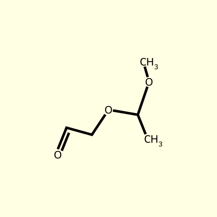 COC(C)OCC=O